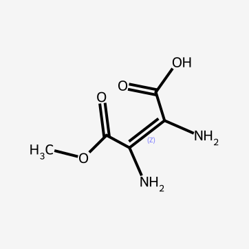 COC(=O)/C(N)=C(/N)C(=O)O